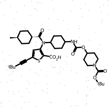 CC(C)(C)C#Cc1cc(N(C(=O)[C@H]2CC[C@H](C)CC2)C2CCC(NC(=O)OC3CCN(C(=O)OC(C)(C)C)CC3)CC2)c(C(=O)O)s1